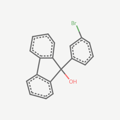 OC1(c2cccc(Br)c2)c2ccccc2-c2ccccc21